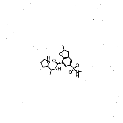 CNS(=O)(=O)c1cc2c(c(C(=O)NC(C)C3CCCN3)c1)OC(C)C2